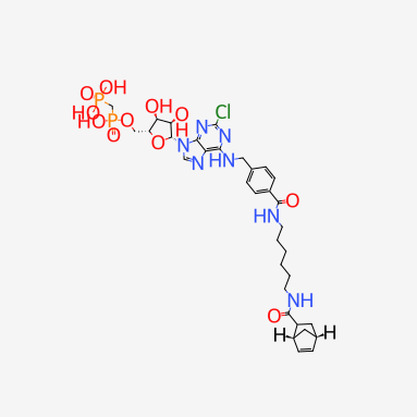 O=C(NCCCCCCNC(=O)C1C[C@@H]2C=C[C@H]1C2)c1ccc(CNc2nc(Cl)nc3c2ncn3[C@@H]2O[C@H](COP(=O)(O)CP(=O)(O)O)[C@@H](O)[C@H]2O)cc1